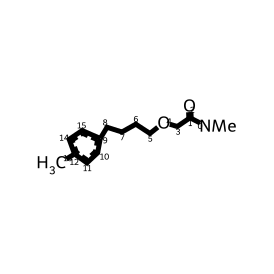 CNC(=O)COCCCCc1ccc(C)cc1